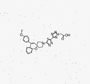 O=C(O)Cn1nnc(-c2nnc(N3CCC4(C=C(c5ccc(OF)cc5)c5ccccc5O4)CC3)s2)n1